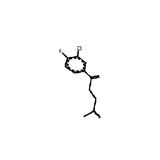 C=C(CCC(C)C)c1ccc(F)c(Cl)c1